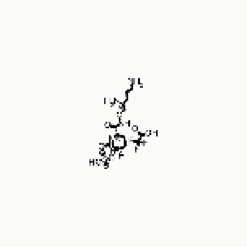 NCCC[C@H](N)CONC(=O)[C@@H]1CC[C@@H]2CN1C(=O)N2OS(=O)(=O)O.O=C(O)C(F)(F)F